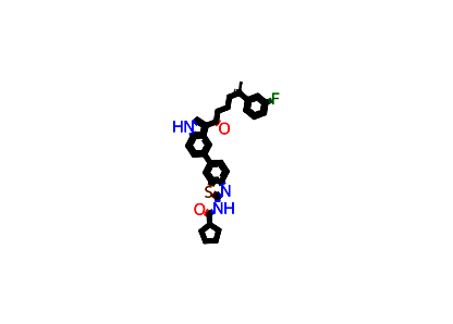 C[C@H](CCCC(=O)c1c[nH]c2ccc(-c3ccc4nc(NC(=O)C5CCCC5)sc4c3)cc12)c1cccc(F)c1